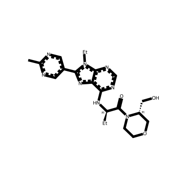 CC[C@@H](Nc1ncnc2c1nc(-c1cnc(C)nc1)n2CC)C(=O)N1CCOC[C@H]1CO